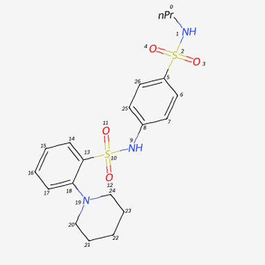 CCCNS(=O)(=O)c1ccc(NS(=O)(=O)c2ccccc2N2CCCCC2)cc1